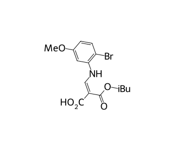 CCC(C)OC(=O)C(=CNc1cc(OC)ccc1Br)C(=O)O